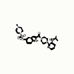 CC(C)Nc1cccnc1N1CCN(C(=O)c2cc3cc(NS(=O)(=O)N4CCN(C)CC4)ccc3[nH]2)CC1